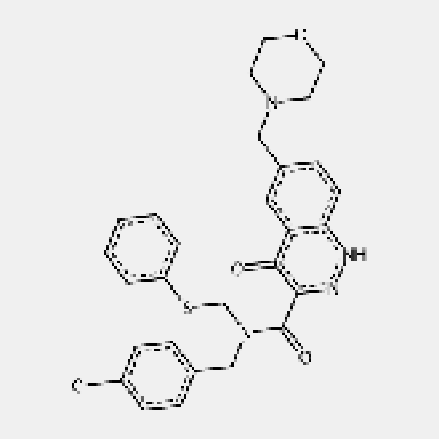 O=C(c1n[nH]c2ccc(CN3CCOCC3)cc2c1=O)N(CSc1ccccc1)Cc1ccc(Cl)cc1